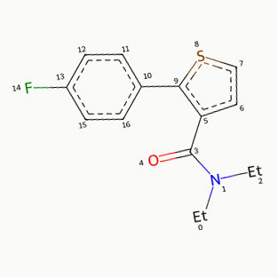 CCN(CC)C(=O)c1ccsc1-c1ccc(F)cc1